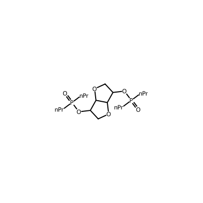 CCCP(=O)(CCC)OC1COC2C(OP(=O)(CCC)CCC)COC12